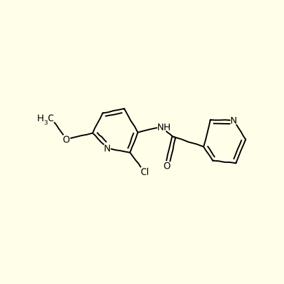 COc1ccc(NC(=O)c2cccnc2)c(Cl)n1